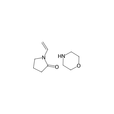 C1COCCN1.C=CN1CCCC1=O